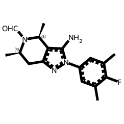 Cc1cc(-n2nc3c(c2N)[C@H](C)N(C=O)[C@H](C)C3)cc(C)c1F